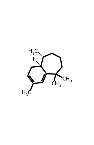 CC1=CC[C@@H]2C(=C1)C(C)(C)CCC[C@H]2C